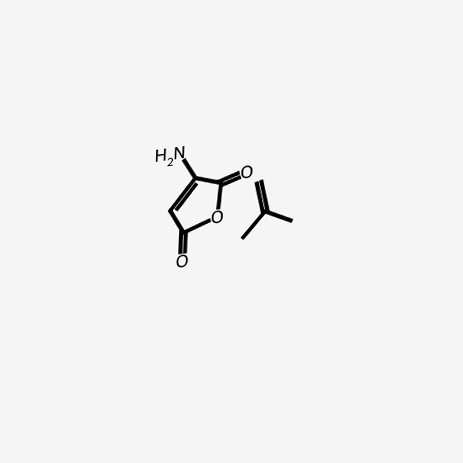 C=C(C)C.NC1=CC(=O)OC1=O